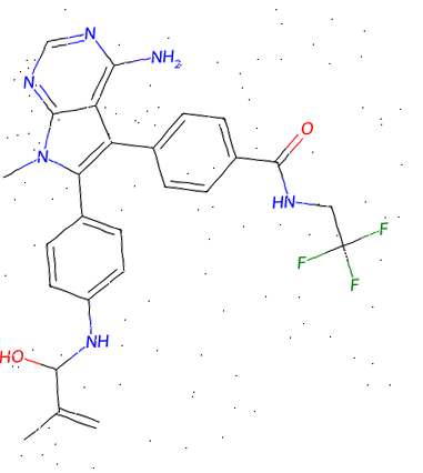 C=C(C)C(O)Nc1ccc(-c2c(-c3ccc(C(=O)NCC(F)(F)F)cc3)c3c(N)ncnc3n2C)cc1